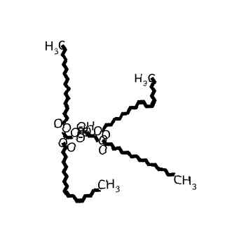 CCCCC/C=C\C/C=C\CCCCCCCCC(=O)OC(COC(=O)CCCCCCCCCCCCCCCC)COP(=O)(O)OCC(COC(=O)CCCCCCCCCCCCCCCC)OC(=O)CCCCCCCC/C=C\C/C=C\CCCCC